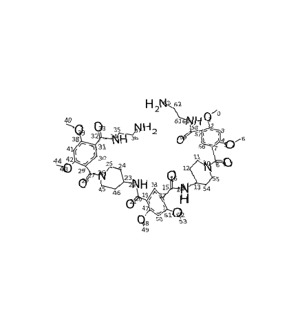 COc1cc(OC)c(C(=O)N2CCC(NC(=O)c3cc(C(=O)NC4CCN(C(=O)c5cc(C(=O)NCCN)c(OC)cc5OC)CC4)c(OC)cc3OC)CC2)cc1C(=O)NCCN